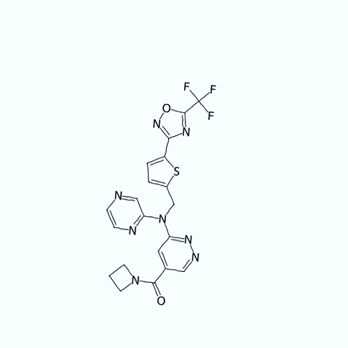 O=C(c1cnnc(N(Cc2ccc(-c3noc(C(F)(F)F)n3)s2)c2cnccn2)c1)N1CCC1